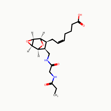 CCC(=O)NCC(=O)NC[C@@H]1[C@H](C/C=C\CCCC(=O)O)[C@H]2O[C@@H]1[C@H]1O[C@H]12